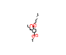 CCCCCCCOC(=O)C1CCC(C(=O)OCCC)CC1CCCC